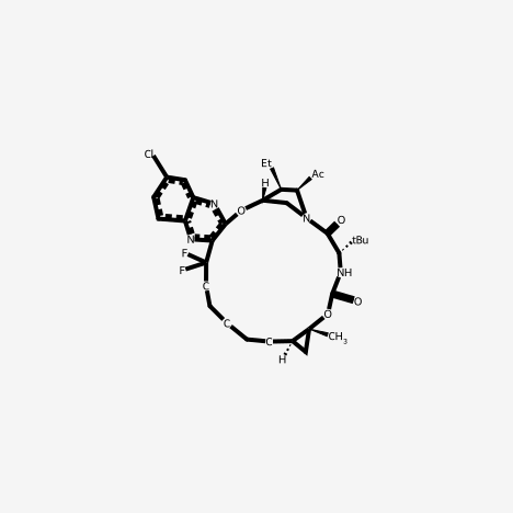 CC[C@@H]1[C@@H]2CN(C(=O)[C@H](C(C)(C)C)NC(=O)O[C@]3(C)C[C@H]3CCCCCC(F)(F)c3nc4ccc(Cl)cc4nc3O2)[C@@H]1C(C)=O